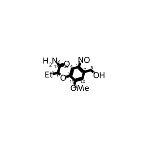 CCC(Oc1cc(N=O)c(CO)cc1OC)C(N)=O